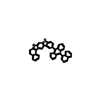 c1ccc2c(-c3c4ccccc4c(-c4ccc5sc6cc7sc8ccc9ccccc9c8c7cc6c5c4)c4ccccc34)cccc2c1